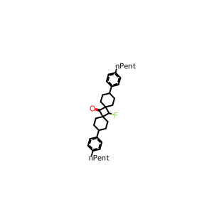 CCCCCc1ccc(C2CCC3(CC2)C(=O)C2(CCC(c4ccc(CCCCC)cc4)CC2)C3F)cc1